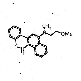 COCCN(C)c1cc2c(c3ncccc13)NSc1ccccc1-2